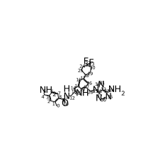 Cc1cc(CN)ccc1C(=O)NCc1cc2cc(C3CCC(F)(F)CC3)cc(Cn3cnc4c(N)ncnc43)c2[nH]1